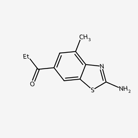 CCC(=O)c1cc(C)c2nc(N)sc2c1